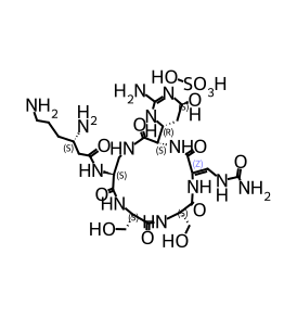 NCCC[C@H](N)CC(=O)N[C@H]1CNC(=O)[C@H]([C@H]2C[C@H](O)N=C(N)N2)NC(=O)/C(=C/NC(N)=O)NC(=O)[C@H](CO)NC(=O)[C@H](CO)NC1=O.O=S(=O)(O)O